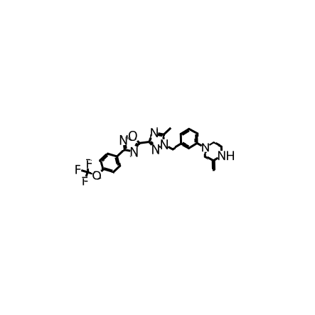 C=C1CN(c2cccc(Cn3nc(-c4nc(-c5ccc(OC(F)(F)F)cc5)no4)nc3C)c2)CCN1